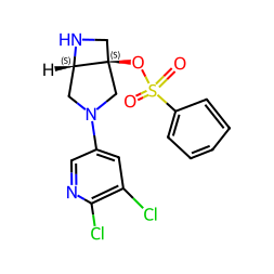 O=S(=O)(O[C@]12CN[C@H]1CN(c1cnc(Cl)c(Cl)c1)C2)c1ccccc1